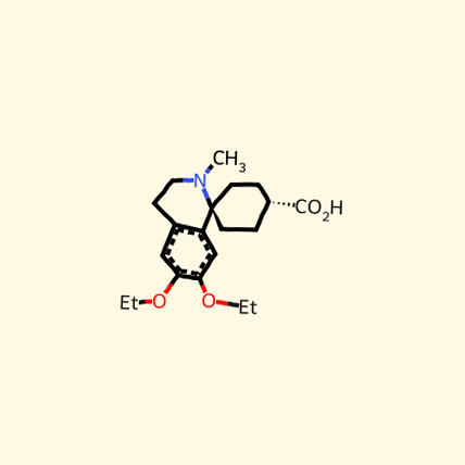 CCOc1cc2c(cc1OCC)[C@]1(CC[C@@H](C(=O)O)CC1)N(C)CC2